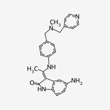 CC(Nc1ccc(CN(C)Cc2ccncc2)cc1)=C1C(=O)Nc2ccc(N)cc21